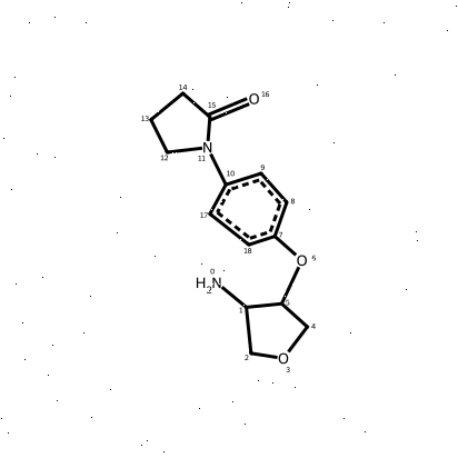 NC1COCC1Oc1ccc(N2CCCC2=O)cc1